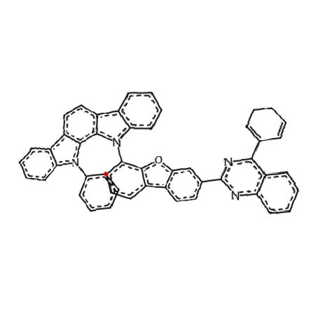 C1=CC(c2nc(-c3ccc4c(c3)oc3c(-n5c6ccccc6c6ccc7c8ccccc8n(-c8ccccc8)c7c65)cccc34)nc3ccccc23)=CCC1